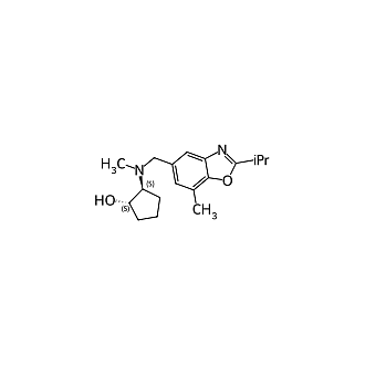 Cc1cc(CN(C)[C@H]2CCC[C@@H]2O)cc2nc(C(C)C)oc12